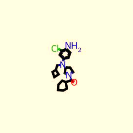 Nc1ccc(N(CC2CCC2)C2CCN(C(=O)C3CCCCC3)C2)cc1Cl